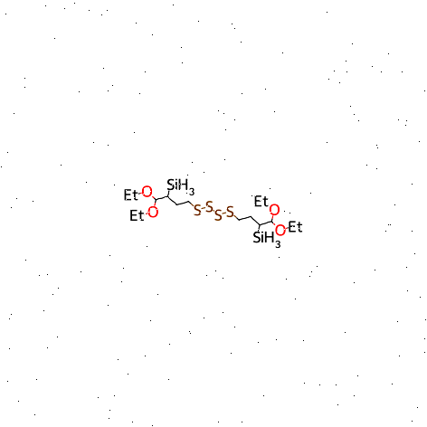 CCOC(OCC)C([SiH3])CCSSSSCCC([SiH3])C(OCC)OCC